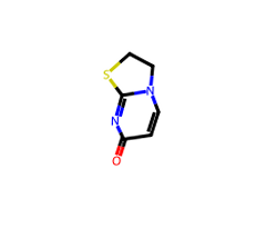 O=c1ccn2c(n1)SCC2